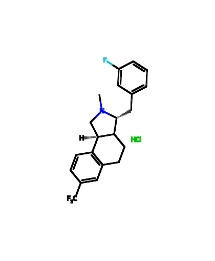 CN1C[C@@H]2c3ccc(C(F)(F)F)cc3CCC2[C@H]1Cc1cccc(F)c1.Cl